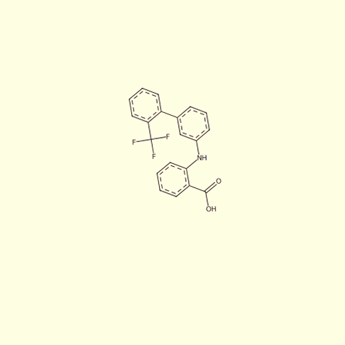 O=C(O)c1ccccc1Nc1cccc(-c2ccccc2C(F)(F)F)c1